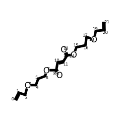 C=CCOCCCOC(=O)C=CC(=O)OCCCOCC=C